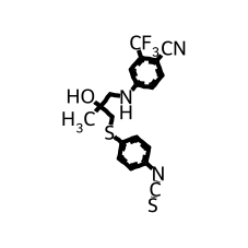 CC(O)(CNc1ccc(C#N)c(C(F)(F)F)c1)CSc1ccc(N=C=S)cc1